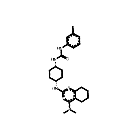 Cc1cccc(NC(=O)N[C@H]2CC[C@@H](Nc3nc4c(c(N(C)C)n3)CCCC4)CC2)c1